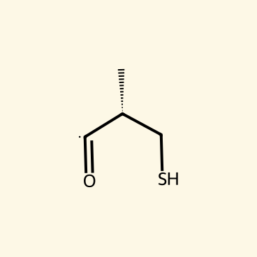 C[C@@H]([C]=O)CS